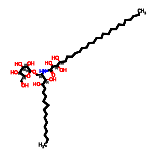 CCCCCCCCCCCCCCCCCCCCCC[C@@H](O)[C@@H](O)C(O)C(=O)N[C@H](CO[C@H]1O[C@H](CO)[C@H](O)[C@H](O)[C@H]1O)[C@H](O)[C@H](O)CCCCCCCCCCCCCC